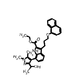 CCOC(=O)c1[nH]c2c(-c3c(C(C)O)nn(C)c3C)cccc2c1CCCOc1cccc2ccccc12